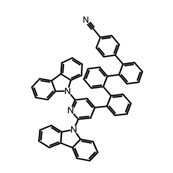 N#Cc1ccc(-c2ccccc2-c2ccccc2-c2ccccc2-c2cc(-n3c4ccccc4c4ccccc43)nc(-n3c4ccccc4c4ccccc43)c2)cc1